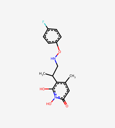 Cc1cc(=O)n(O)c(O)c1C(C)CNOc1ccc(F)cc1